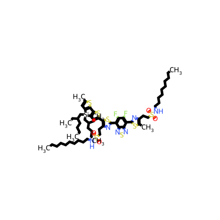 CCCCCCCCCCNS(=O)(=O)CCc1nc(-c2c(F)c(F)c(-c3nc(CCS(=O)(=O)NCCCCCCCCCC)c(-c4cc5c(s4)-c4sc(C)cc4[Si]5(CC(CC)CCCC)CC(CC)CCCC)s3)c3nsnc23)sc1C